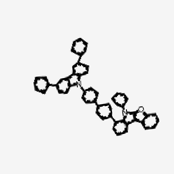 c1ccc(-c2ccc3c(c2)c2cc(-c4ccccc4)ccc2n3-c2ccc(-c3ccc(-c4cccc5c6c7ccccc7oc6n(-c6ccccc6)c45)cc3)cc2)cc1